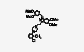 COc1ccc(Cn2nc(CCN3CCN(c4cccc(Cl)c4C)CC3)c3cc(OC)c(OC)cc32)cc1OC